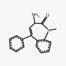 CN1C(=O)C(N)C=C(c2ccccc2)c2ccccc21